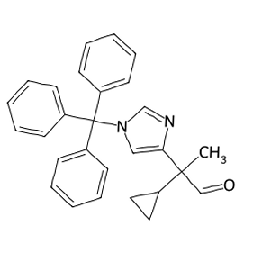 CC(C=O)(c1cn(C(c2ccccc2)(c2ccccc2)c2ccccc2)cn1)C1CC1